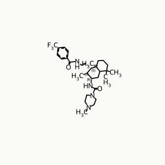 C[C@@H]1[C@H](NC(=O)N2CCN(C)CC2)CC2C(C)(C)CCC[C@]2(C)[C@H]1CCNC(=O)c1ccc(C(F)(F)F)cc1